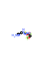 CO[C@@H](C(=O)Nc1nnc(N[C@H]2CC=C(c3ccc(N)nn3)CC2)s1)c1cc(OC(F)(F)F)ccc1F